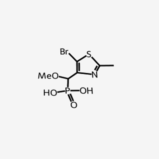 COC(c1nc(C)sc1Br)P(=O)(O)O